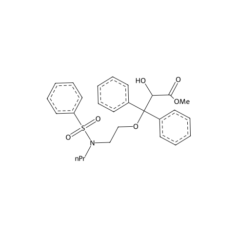 CCCN(CCOC(c1ccccc1)(c1ccccc1)C(O)C(=O)OC)S(=O)(=O)c1ccccc1